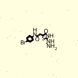 NCNC1NC(=O)C(CC(=O)Nc2ccc(Br)cc2)S1